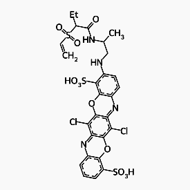 C=CS(=O)(=O)C(CC)C(=O)NC(C)CNc1ccc2c(c1S(=O)(=O)O)Oc1c(Cl)c3c(c(Cl)c1=N2)Oc1c(cccc1S(=O)(=O)O)N=3